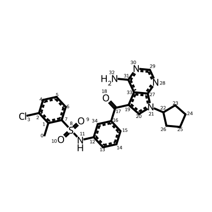 Cc1c(Cl)cccc1S(=O)(=O)Nc1cccc(C(=O)c2cn(C3CCCC3)c3ncnc(N)c23)c1